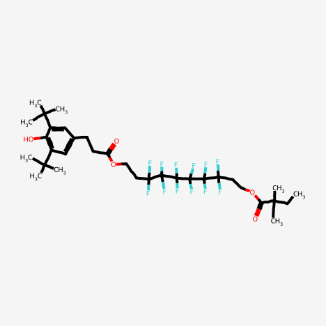 CCC(C)(C)C(=O)OCCC(F)(F)C(F)(F)C(F)(F)C(F)(F)C(F)(F)C(F)(F)CCOC(=O)CCc1cc(C(C)(C)C)c(O)c(C(C)(C)C)c1